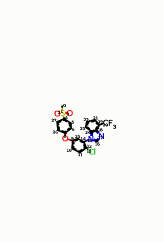 CS(=O)(=O)c1ccc(Oc2ccc(Cl)c(-n3cnc4c(C(F)(F)F)cccc43)c2)cc1